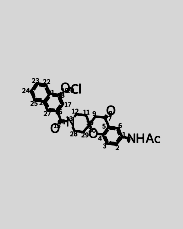 CC(=O)Nc1ccc2c(c1)C(=O)CC1(CCN(C(=O)c3cc(OCl)c4ccccc4c3)CC1)O2